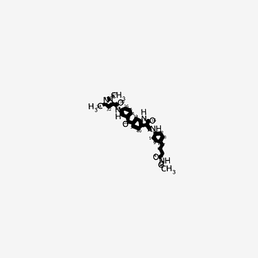 CONC(=O)CCCc1ccc(N/C=C2\C(=O)Nc3cc(C(=O)c4cccc(NC(=O)c5cc(C)nn5C)c4)ccc32)cc1